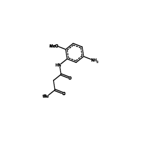 COc1ccc(N)cc1NC(=O)CC(=O)C(C)(C)C